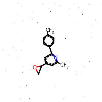 FC(F)(F)c1ccc(-c2cc(C3CO3)cc(C(F)(F)F)n2)cc1